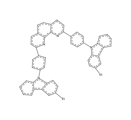 CCc1ccc2c(c1)c1ccccc1n2-c1ccc(-c2ccc3ccc4ccc(-c5ccc(-n6c7ccccc7c7cc(CC)ccc76)cc5)nc4c3n2)cc1